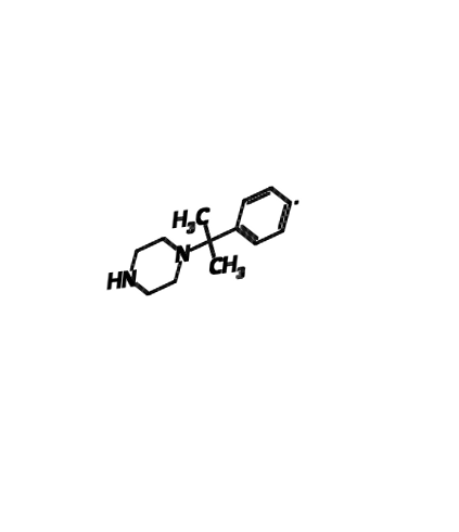 CC(C)(c1cc[c]cc1)N1CCNCC1